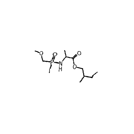 CCC(C)COC(=O)C(C)NP(=O)(I)COC